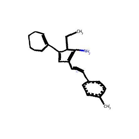 CCC1C(C2=CCCCC2)=CC(/C=C/c2ccc(C)cc2)=C1N